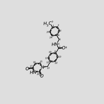 Cc1ccc(CNC(=O)c2ccc(Cn3ccc(=O)[nH]c3=O)cc2)cc1